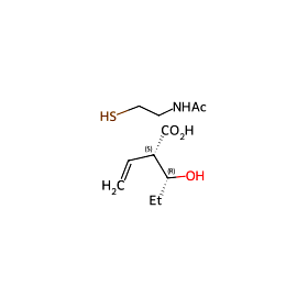 C=C[C@H](C(=O)O)[C@H](O)CC.CC(=O)NCCS